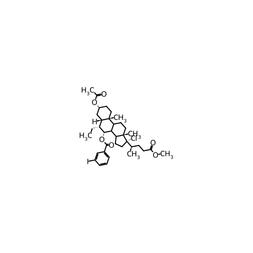 CC[C@H]1[C@@H](OC(=O)c2cccc(I)c2)C2C3CC[C@](Cl)([C@H](C)CCC(=O)OC)[C@@]3(C)CCC2[C@@]2(C)CC[C@@H](OC(C)=O)C[C@@H]12